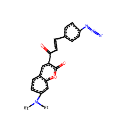 CCN(CC)c1ccc2cc(C(=O)C=Cc3ccc(N=[N+]=[N-])cc3)c(=O)oc2c1